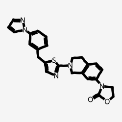 O=C1OCCN1c1ccc2c(c1)CN(c1ncc(Cc3cccc(-n4cccn4)c3)s1)CC2